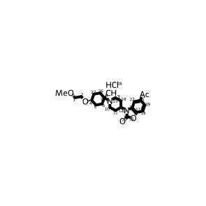 COCCO[C@H]1CC[C@](C)(N2CCC(n3c(=O)oc4ccc(C(C)=O)cc43)CC2)CC1.Cl